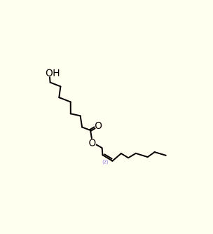 CCCCCC/C=C\COC(=O)CCCCCCCO